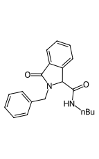 CCCCNC(=O)C1c2ccccc2C(=O)N1Cc1ccccc1